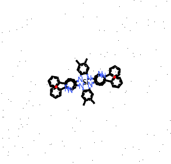 Cc1cc2c(cc1C)N(c1ccc(-c3ccccc3)nc1)[Si]1(N2c2ccc(-c3ccccc3)nc2)N(c2ccc(-c3ccccc3)nc2)c2cc(C)c(C)cc2N1c1ccc(-c2ccccc2)nc1